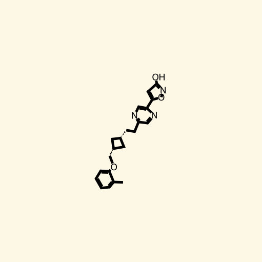 Cc1ccccc1OC[C@H]1C[C@@H](CCc2cnc(-c3cc(O)no3)cn2)C1